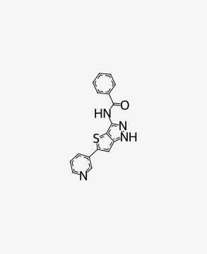 O=C(Nc1n[nH]c2cc(-c3cccnc3)sc12)c1ccccc1